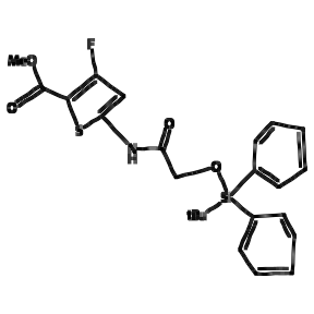 COC(=O)c1sc(NC(=O)CO[Si](c2ccccc2)(c2ccccc2)C(C)(C)C)cc1F